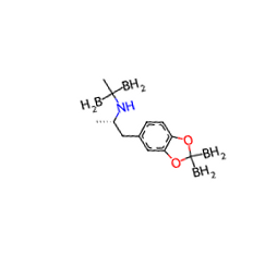 BC(B)(C)N[C@@H](C)Cc1ccc2c(c1)OC(B)(B)O2